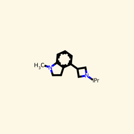 CC(C)N1CC(c2cccc3c2CCN3C)C1